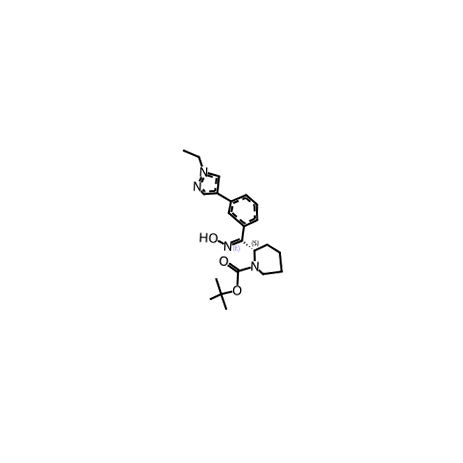 CCn1cc(-c2cccc(/C(=N\O)[C@@H]3CCCCN3C(=O)OC(C)(C)C)c2)cn1